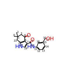 CC1(C)CC(=O)c2c(C(=O)Nc3cccc(CO)c3)c[nH]c2C1